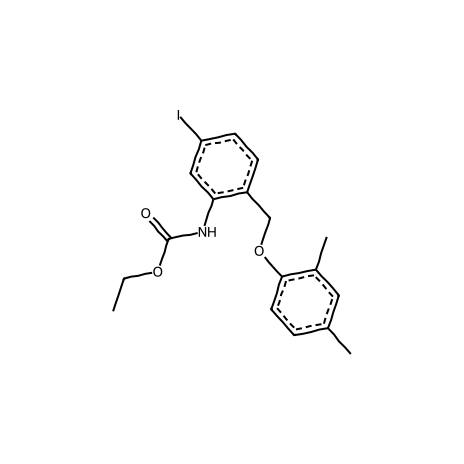 CCOC(=O)Nc1cc(I)ccc1COc1ccc(C)cc1C